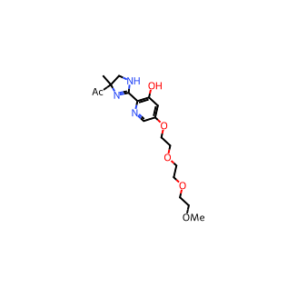 COCCOCCOCCOc1cnc(C2=NC(C)(C(C)=O)CN2)c(O)c1